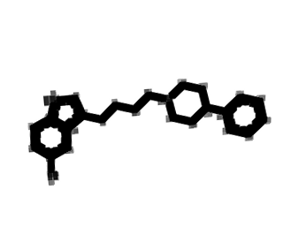 CCc1ccc2[nH]cc(CCCCN3CCC(c4ccccc4)CC3)c2c1